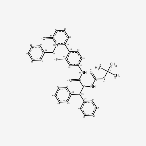 CC(C)(C)OC(=O)N[C@H](C(=O)Nc1ccc(-c2cccc(=O)n2Cc2ccccc2)c(F)c1)C(c1ccccc1)c1ccccc1